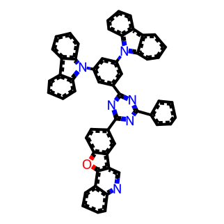 c1ccc(-c2nc(-c3cc(-n4c5ccccc5c5ccccc54)cc(-n4c5ccccc5c5ccccc54)c3)nc(-c3ccc4oc5c6ccccc6ncc5c4c3)n2)cc1